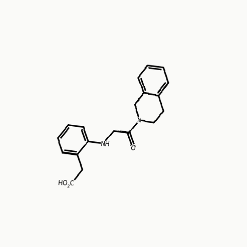 O=C(O)Cc1ccccc1NCC(=O)N1CCc2ccccc2C1